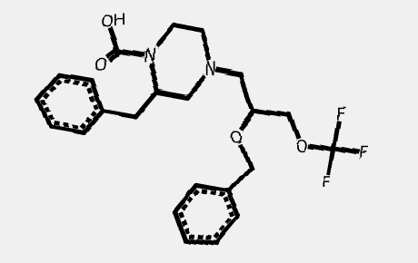 O=C(O)N1CCN(CC(COC(F)(F)F)OCc2ccccc2)CC1Cc1ccccc1